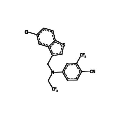 N#Cc1ccc(N(Cc2csc3ccc(Cl)cc23)CC(F)(F)F)cc1C(F)(F)F